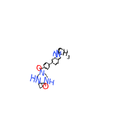 Cn1cc2ccc(-c3ccc(C(=O)N4CCNC(=O)C5(CCC5)NCC4)cc3)cc2n1